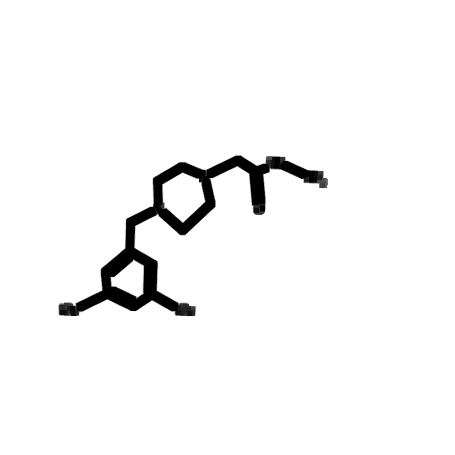 CC(C)(C)c1cc(CN2CCN(CC(=O)NN)CC2)cc(C(C)(C)C)c1